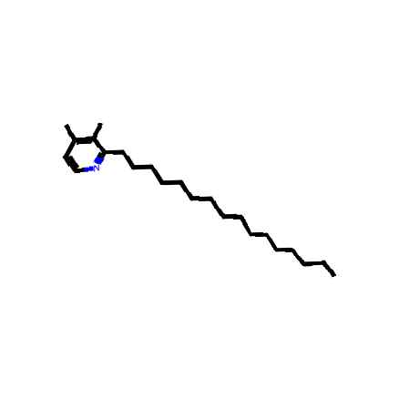 CCCCCCCCCCCCCCCCc1nccc(C)c1C